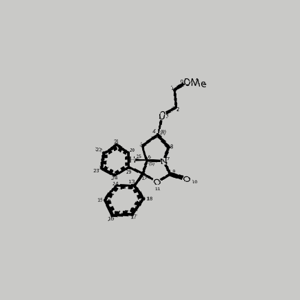 COCCO[C@@H]1C[C@@H]2N(C1)C(=O)OC2(c1ccccc1)c1ccccc1